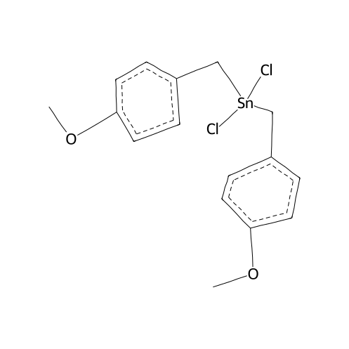 COc1ccc([CH2][Sn]([Cl])([Cl])[CH2]c2ccc(OC)cc2)cc1